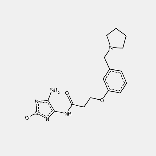 Nc1n[s+]([O-])nc1NC(=O)CCOc1cccc(CN2CCCC2)c1